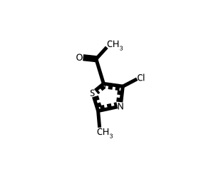 CC(=O)c1sc(C)nc1Cl